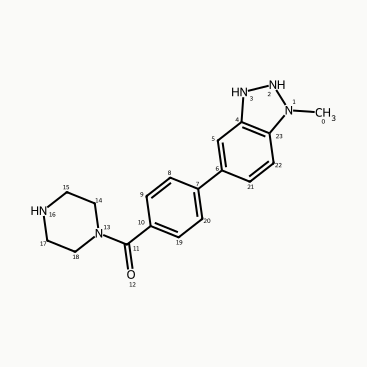 CN1NNc2cc(-c3ccc(C(=O)N4CCNCC4)cc3)ccc21